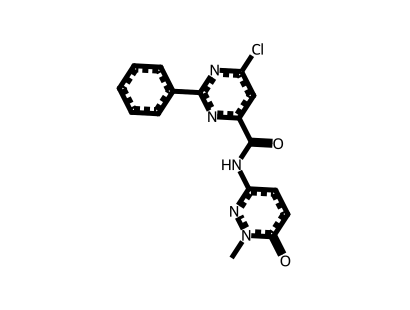 Cn1nc(NC(=O)c2cc(Cl)nc(-c3ccccc3)n2)ccc1=O